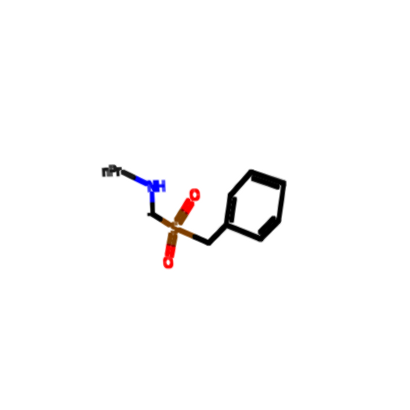 CCCN[CH]S(=O)(=O)Cc1ccccc1